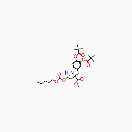 CCCCCOC(=O)OCC[C@@](N)(Cc1ccc(OC(=O)C(C)(C)C)c(OC(=O)C(C)(C)C)c1)C(=O)OC